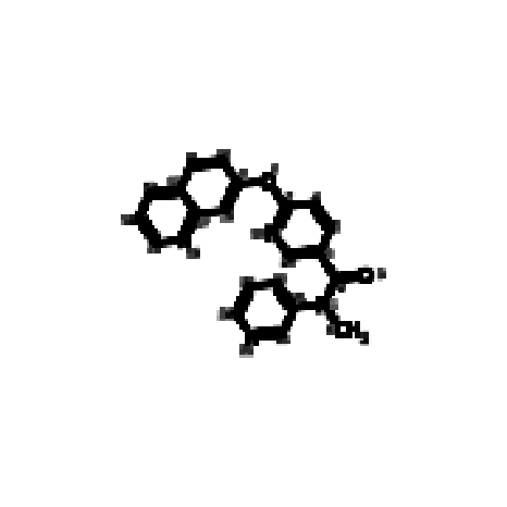 CN(C(=O)c1ccc(Oc2ccc3cccnc3c2)nc1)c1cccnc1